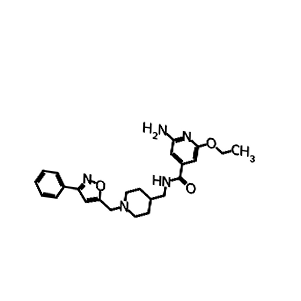 CCOc1cc(C(=O)NCC2CCN(Cc3cc(-c4ccccc4)no3)CC2)cc(N)n1